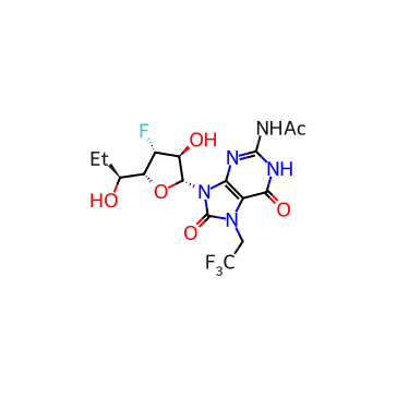 CC[C@H](O)[C@H]1O[C@@H](n2c(=O)n(CC(F)(F)F)c3c(=O)[nH]c(NC(C)=O)nc32)[C@H](O)[C@H]1F